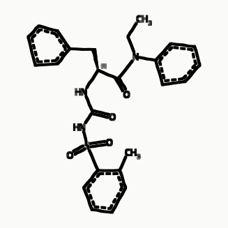 CCN(C(=O)[C@H](Cc1ccccc1)NC(=O)NS(=O)(=O)c1ccccc1C)c1ccccc1